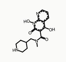 CN(CC1CCNCC1)C(=O)c1c(O)c2cccnc2n(O)c1=O